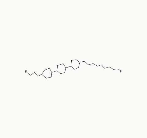 FCCCCCCCCCC1CCC(C2CCC(C3CCC(CCCF)CC3)CC2)CC1